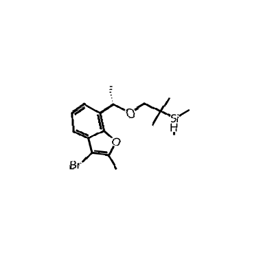 Cc1oc2c([C@H](C)OCC(C)(C)[SiH](C)C)cccc2c1Br